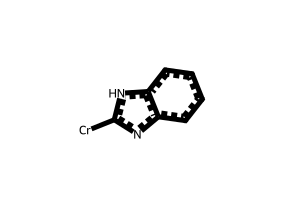 [Cr][c]1nc2ccccc2[nH]1